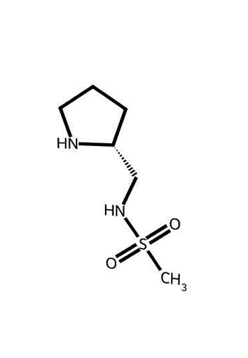 CS(=O)(=O)NC[C@H]1CCCN1